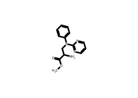 COC(=O)C(N)CN(c1ccccc1)c1ncccn1